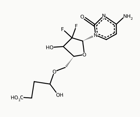 Nc1ccn([C@@H]2O[C@H](COC(O)CCC(=O)O)C(O)C2(F)F)c(=O)n1